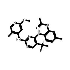 COc1cc(Nc2ncc(C(F)(F)F)c(Nc3ccc(C)cc3NC(C)=O)n2)c(C)cn1